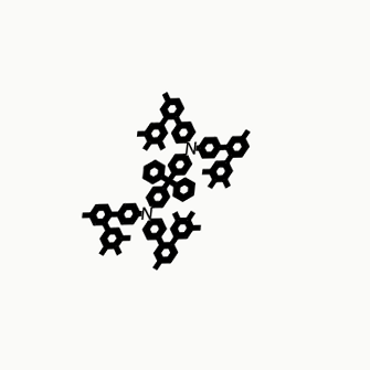 Cc1ccc(-c2cc(C)c(C)c(C)c2)c(-c2ccc(N(c3ccc(-c4ccc(C)cc4-c4cc(C)c(C)c(C)c4)cc3)c3ccc(C(c4ccccc4)(c4ccccc4)c4ccc(N(c5ccc(-c6ccc(C)cc6-c6cc(C)c(C)c(C)c6)cc5)c5ccc(-c6cc(C)ccc6-c6cc(C)c(C)c(C)c6)cc5)cc4)cc3)cc2)c1